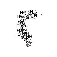 Nc1ncnc2c1ncn2[C@@H]1O[C@H](COS(=O)(=O)NC(=O)OC2=C(C(=O)O)N3C(=O)[C@@H](NC(=O)Cc4cccs4)[C@H]3SC2)[C@@H](O)[C@H]1O